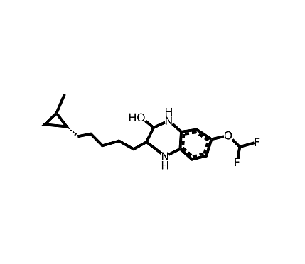 CC1C[C@H]1CCCCCC1Nc2ccc(OC(F)F)cc2NC1O